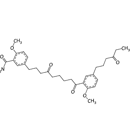 CCC(=O)CCCc1ccc(OC)c(C(=O)CCCCC(=O)CCCc2ccc(OC)c(C(N)=O)c2)c1